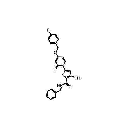 Cc1cc(-n2ccc(OCc3ccc(F)cc3)cc2=O)sc1C(=O)NCc1ccccc1